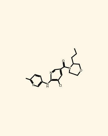 CCCC1COCCN1C(=O)c1cnc(Nc2ccc(C)nc2)c(Cl)c1